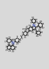 CC1(C)c2cc(/C=C/c3ccc(N(c4ccccc4)c4cccc5ccccc45)cc3)ccc2-c2cc3c(-c4ccccc4)c(-c4ccccc4)n(-c4ccccc4)c3cc21